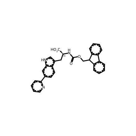 O=C(N[C@@H](Cc1c[nH]c2cc(-c3ccccn3)ccc12)C(=O)O)OCC1c2ccccc2-c2ccccc21